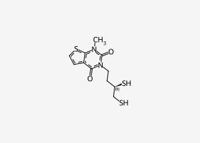 Cn1c(=O)n(CC[C@@H](S)CS)c(=O)c2ccsc21